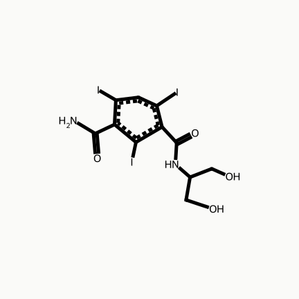 NC(=O)c1c(I)cc(I)c(C(=O)NC(CO)CO)c1I